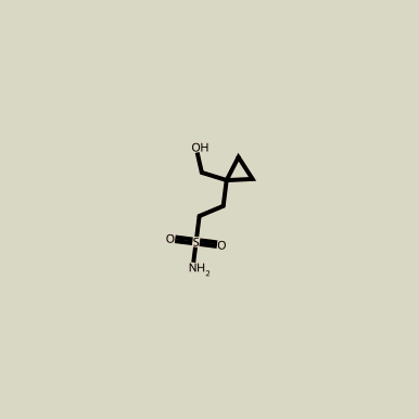 NS(=O)(=O)CCC1(CO)CC1